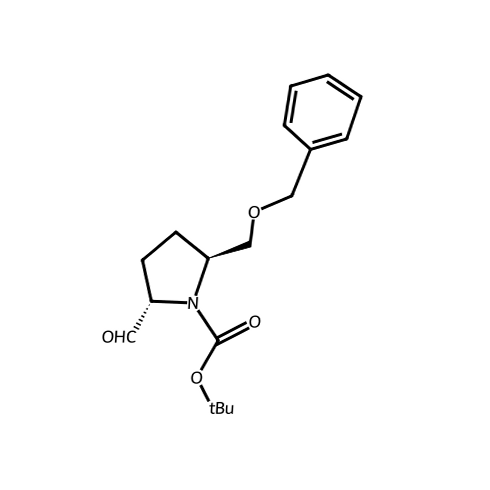 CC(C)(C)OC(=O)N1[C@H](COCc2ccccc2)CC[C@H]1C=O